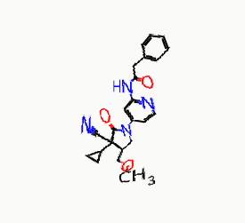 COCC1CN(c2ccnc(NC(=O)Cc3ccccc3)c2)C(=O)C1(C#N)C1CC1